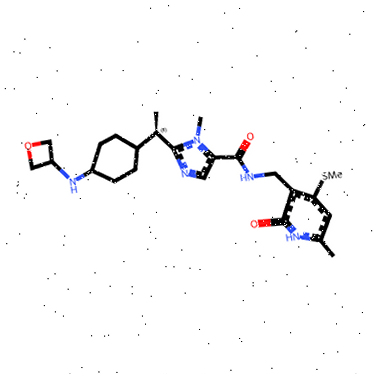 CSc1cc(C)[nH]c(=O)c1CNC(=O)c1cnc([C@H](C)C2CCC(NC3COC3)CC2)n1C